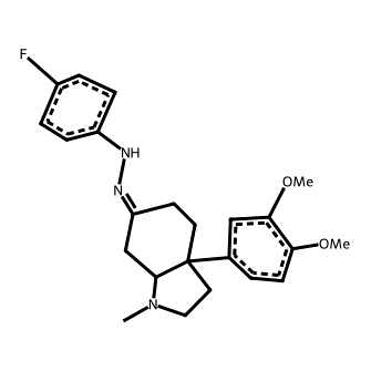 COc1ccc(C23CCC(=NNc4ccc(F)cc4)CC2N(C)CC3)cc1OC